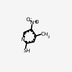 Cc1cc(S)ncc1[N+](=O)[O-]